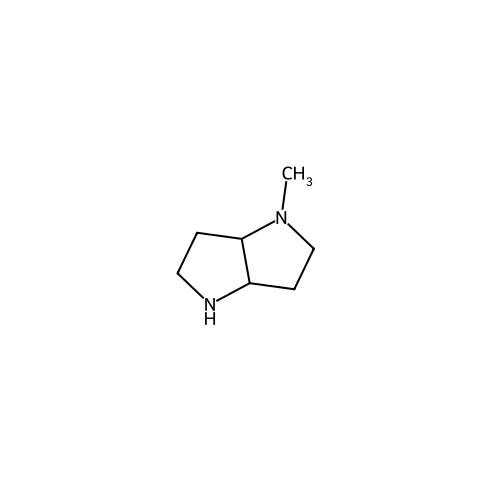 CN1CCC2NCCC21